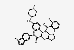 Cc1cccc(F)c1C(=O)N1C2CCCC2CC(C(=O)Nc2ccc3c(cnn3C)c2)C1c1ccc(NC2CCN(C)CC2)cc1